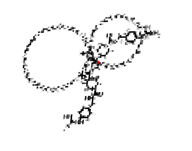 N=C(N)Nc1ccc(CNC(=O)N2CCN(C(=O)N3CC4(CCCCCCCCCCCCCCCCCCCCCCCCC5(CCCCCCCCCCCCCCCCCCCCCCCCCCCCCCCCC(O)(C(F)(F)F)OCN(C(=O)N6CCN(C(=O)NCc7ccc(NC(=N)N)cc7)CC6)C5)[C@@](O)(C(F)(F)F)O4)C3)CC2)cc1